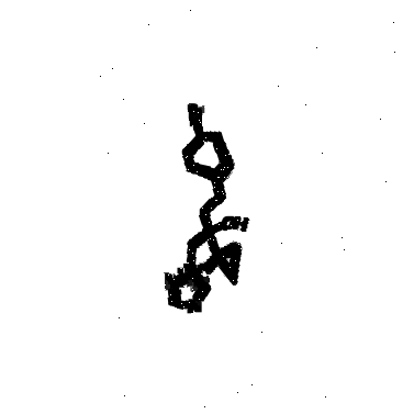 CC1(C(O)(CCc2ccc(Br)cc2)Cn2cncn2)CC1